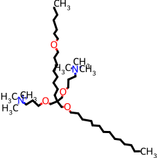 CCCCCCCCCCCCCCOCC(CCCCCCCCOCCCCCCC)(COCCC[N+](C)(C)C)COCCC[N+](C)(C)C